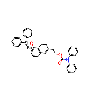 CC(C)(C)[Si](Oc1cccc2c1CCC(CCOC(=O)N(c1ccccc1)c1ccccc1)=C2)(c1ccccc1)c1ccccc1